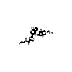 N#CCN1C[C@H]2CC(Nc3c(-c4ncc(C(=O)NCCF)s4)cnc4[nH]ccc34)C[C@H]2C1